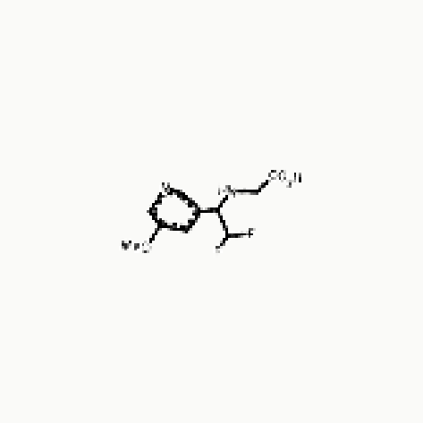 COc1cncc(C(NCC(=O)O)C(F)F)c1